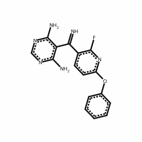 N=C(c1ccc(Oc2ccccc2)nc1F)c1c(N)ncnc1N